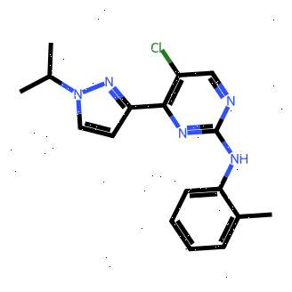 Cc1c[c]ccc1Nc1ncc(Cl)c(-c2ccn(C(C)C)n2)n1